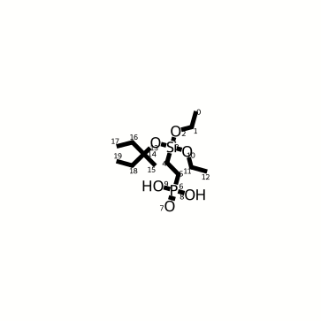 CCO[Si](CCP(=O)(O)O)(OCC)OC(C)(CC)CC